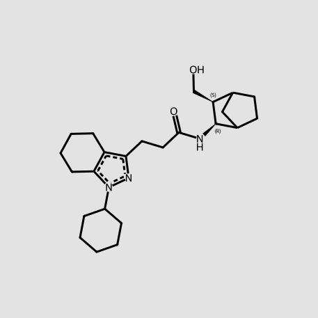 O=C(CCc1nn(C2CCCCC2)c2c1CCCC2)N[C@@H]1C2CCC(C2)[C@@H]1CO